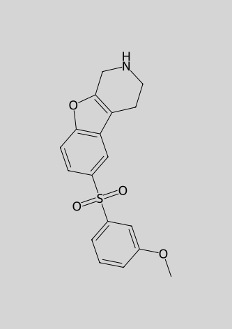 COc1cccc(S(=O)(=O)c2ccc3oc4c(c3c2)CCNC4)c1